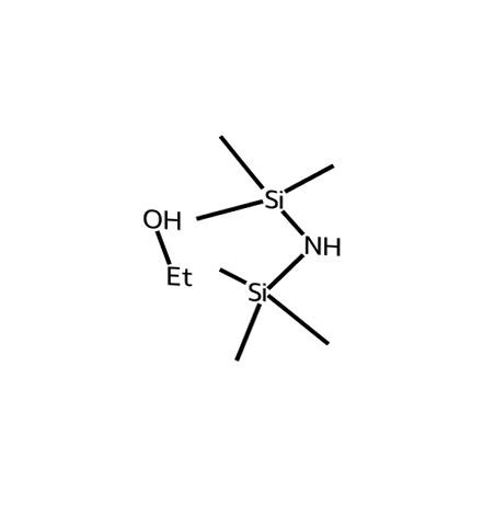 CCO.C[Si](C)(C)N[Si](C)(C)C